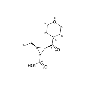 CC[C@@H]1[C@@H](C(=O)O)[C@@H]1C(=O)N1CCOCC1